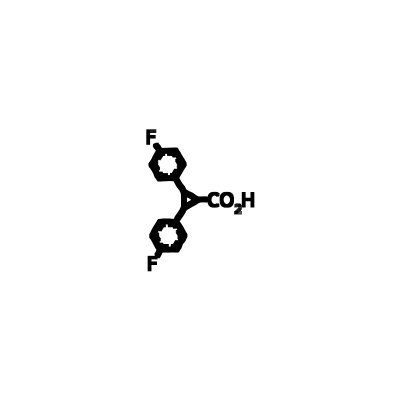 O=C(O)C1C(c2ccc(F)cc2)C1c1ccc(F)cc1